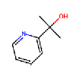 CC(C)(O)c1c[c]ccn1